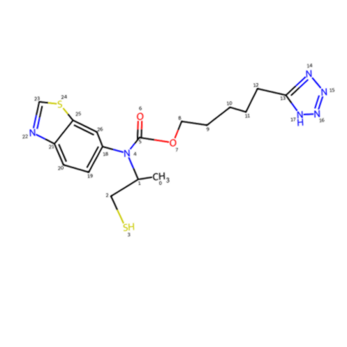 CC(CS)N(C(=O)OCCCCCc1nnn[nH]1)c1ccc2ncsc2c1